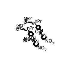 CCCN(CCCS(=O)(=O)[O-])c1ccc(N=Nc2ccc([N+](=O)[O-])cn2)c(O)c1.CCCN(CCCS(=O)(=O)[O-])c1ccc(N=Nc2ccc([N+](=O)[O-])cn2)c(O)c1.[Na+].[Na+]